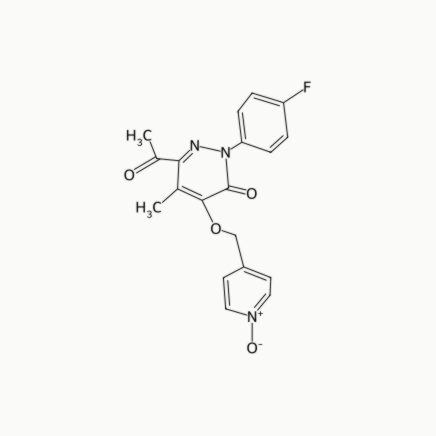 CC(=O)c1nn(-c2ccc(F)cc2)c(=O)c(OCc2cc[n+]([O-])cc2)c1C